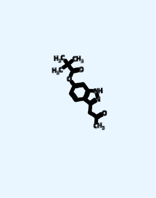 CC(=O)Cc1n[nH]c2cc(OC(=O)C(C)(C)C)ccc12